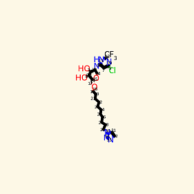 O[C@@H]1[C@H](O)[C@@H](Nc2cc(Cl)nc(C(F)(F)F)n2)CO[C@@H]1COCCCCCCCCCCCn1ccnn1